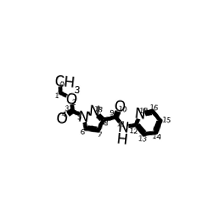 CCOC(=O)n1ccc(C(=O)Nc2ccccn2)n1